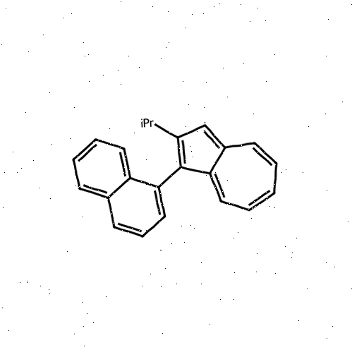 CC(C)c1[c]c2cccccc-2c1-c1cccc2ccccc12